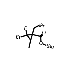 CCC1(F)C(C)C1(CC(C)C)C(=O)OC(C)(C)C